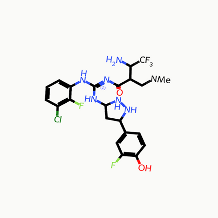 CNCC(C(=O)/N=C(/Nc1cccc(Cl)c1F)NC1CC(c2ccc(O)c(F)c2)NN1)C(N)C(F)(F)F